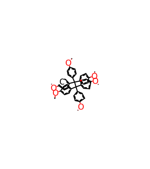 COc1ccc(C(c2ccc(OC)cc2)(c2ccc(OC)cc2)C(c2ccc(OC)cc2)(c2ccc(OC)cc2)c2ccc(OC)cc2)cc1